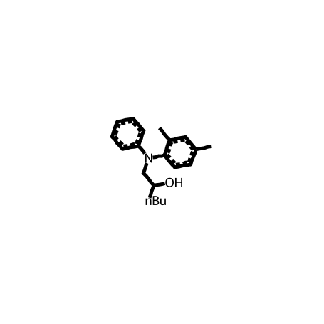 CCCCC(O)CN(c1ccccc1)c1ccc(C)cc1C